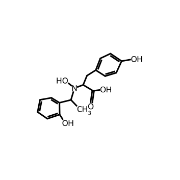 CC(c1ccccc1O)N(O)C(Cc1ccc(O)cc1)C(=O)O